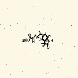 Cc1cc2c(c3c1NC(=O)C3(C)C)O[C@@H](CNC(=O)OC(C)(C)C)[C@H]2C